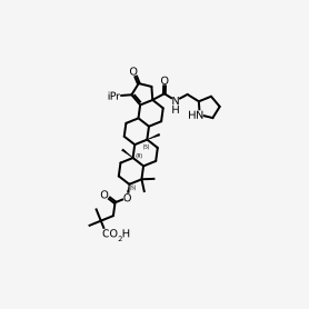 CC(C)C1=C2C3CCC4[C@@](C)(CCC5C(C)(C)[C@@H](OC(=O)CC(C)(C)C(=O)O)CC[C@@]54C)C3CCC2(C(=O)NCC2CCCN2)CC1=O